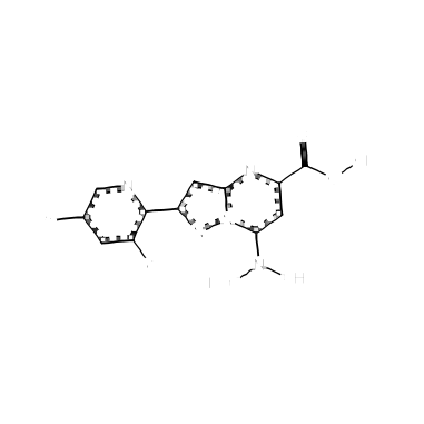 COC(=O)c1cc(N(C)C)n2nc(-c3ncc(Br)cc3Cl)cc2n1